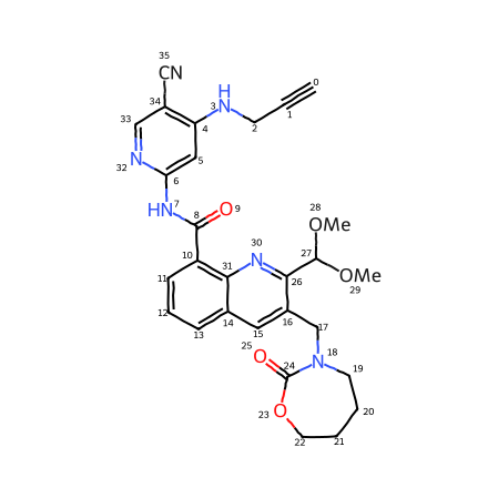 C#CCNc1cc(NC(=O)c2cccc3cc(CN4CCCCOC4=O)c(C(OC)OC)nc23)ncc1C#N